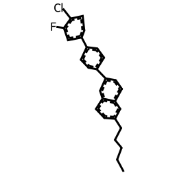 CCCCCc1ccc2cc(-c3ccc(-c4ccc(Cl)c(F)c4)cc3)ccc2c1